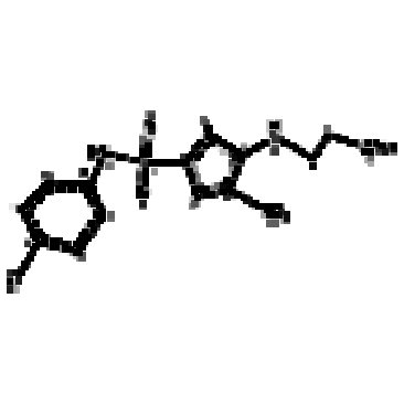 COCCNc1sc(S(=O)(=O)Nc2ccc(Cl)cc2)cc1[N+](=O)[O-]